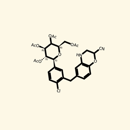 CC(=O)OC[C@H]1O[C@@H](c2ccc(Cl)c(Cc3ccc4c(c3)NCC(C#N)O4)c2)[C@H](OC(C)=O)[C@@H](OC(C)=O)C1OC(C)=O